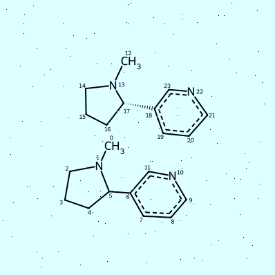 CN1CCCC1c1cccnc1.CN1CCC[C@H]1c1cccnc1